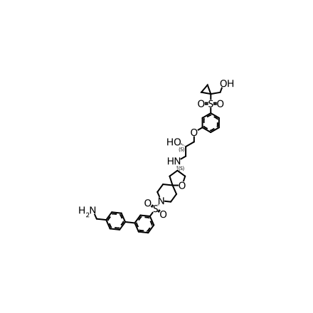 NCc1ccc(-c2cccc(S(=O)(=O)N3CCC4(CC3)C[C@H](NC[C@H](O)COc3cccc(S(=O)(=O)C5(CO)CC5)c3)CO4)c2)cc1